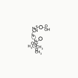 COCC(C)(C)N1CC(c2ccccc2)N(C2CCN(Cc3cnc(Sc4ccc(C(=O)O)cc4)nc3)CC2)C1=O